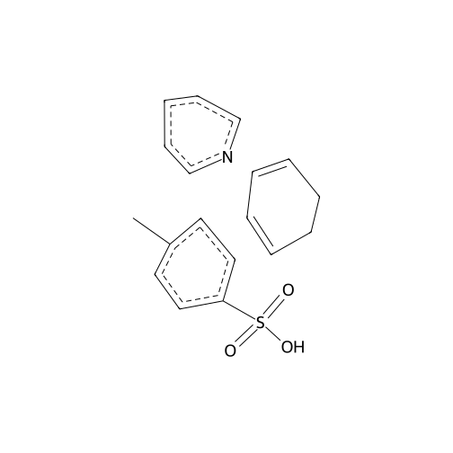 C1=CCCC=C1.Cc1ccc(S(=O)(=O)O)cc1.c1ccncc1